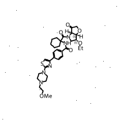 CCO[C@H]1CN(C(=O)C2(NC(=O)c3ccc(-c4csc(N5CCN(CCOC)CC5)n4)cc3)CCCCC2)[C@@H]2C(=O)CO[C@H]12